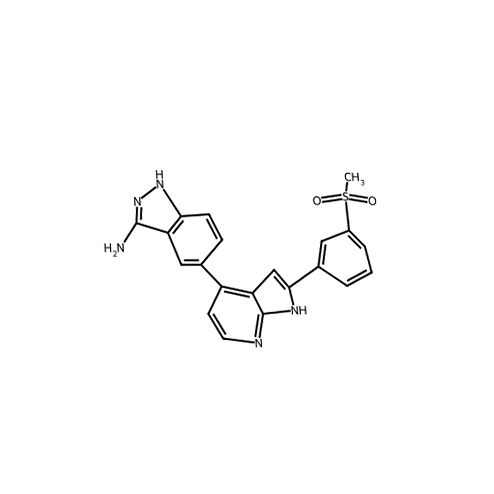 CS(=O)(=O)c1cccc(-c2cc3c(-c4ccc5[nH]nc(N)c5c4)ccnc3[nH]2)c1